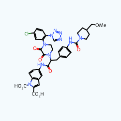 COCC1CCN(C(=O)Nc2ccc(CC(C(=O)Nc3ccc4c(c3)cc(C(=O)O)n4C(=O)O)N3CCN(c4cc(Cl)ccc4-n4cnnn4)C(=O)C3=O)cc2)CC1